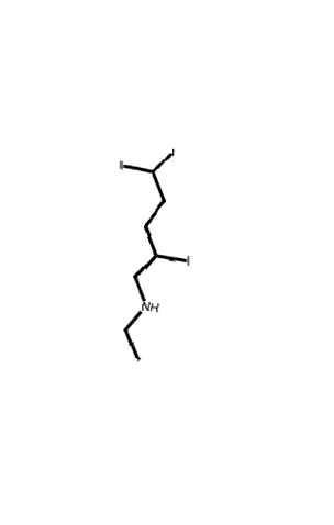 CCNCC(I)CCC(I)I